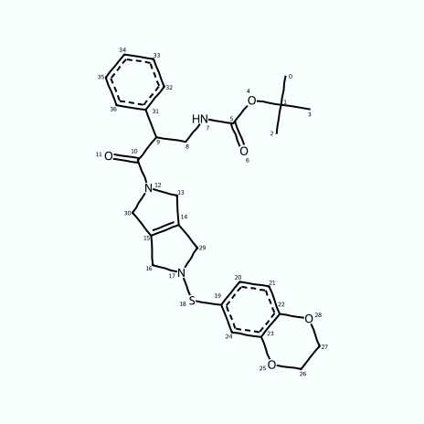 CC(C)(C)OC(=O)NCC(C(=O)N1CC2=C(CN(Sc3ccc4c(c3)OCCO4)C2)C1)c1ccccc1